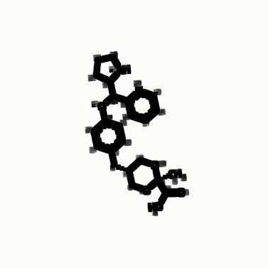 C[C@]1(C(=O)O)OC[C@H](Cc2ccc(OC(c3ccccn3)C3CCCN3)cc2)CO1